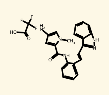 Cn1cc(N)cc1C(=O)Nc1ccccc1/C=C/c1n[nH]c2ccccc12.O=C(O)C(F)(F)F